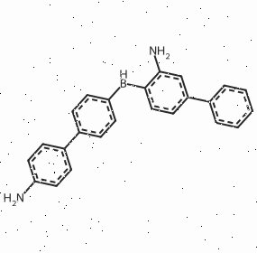 Nc1ccc(-c2ccc(Bc3ccc(-c4ccccc4)cc3N)cc2)cc1